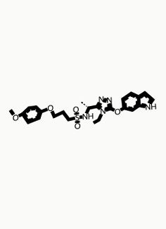 CCn1c(Oc2ccc3cc[nH]c3c2)nnc1[C@@H](C)NS(=O)(=O)CCCOc1ccc(OC)cc1